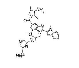 COc1cc(C(=O)N2CC(C)[C@@H](N)C2C)cc2nc(-c3cc4ccccc4n3C)n(CC3CN(c4cncc(C5CN5)n4)C3)c12